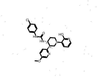 COc1ccc([C@@H]2CN(c3cccnc3O)CC[C@H]2NC(=O)Nc2ccc(Cl)cc2)nc1